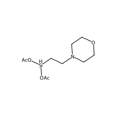 CC(=O)O[SiH](CCN1CCOCC1)OC(C)=O